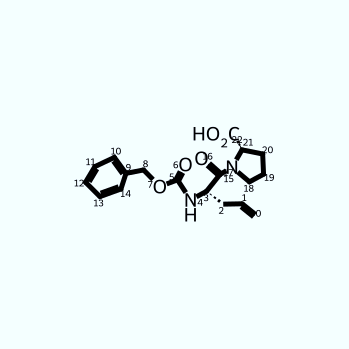 C=CC[C@H](NC(=O)OCc1ccccc1)C(=O)N1CCC[C@H]1C(=O)O